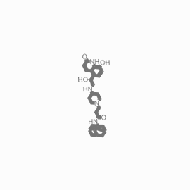 O=C(CCN1CCC(NC[C@H](O)c2ccc(O)c3[nH]c(=O)ccc23)CC1)NC12CC3CC(CC(C3)C1)C2